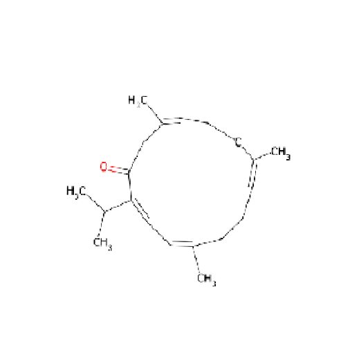 CC1=CC=C(C(C)C)C(=O)CC(C)=CCCC(C)=CCC1